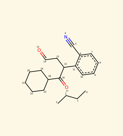 CCCC.N#Cc1ccccc1C(CC=O)C(=O)C1CCCCC1